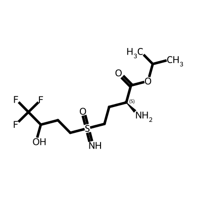 CC(C)OC(=O)[C@@H](N)CCS(=N)(=O)CCC(O)C(F)(F)F